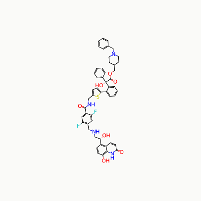 O=C(NCc1ccc(-c2ccccc2[C@](O)(C(=O)OCC2CCN(Cc3ccccc3)CC2)c2ccccc2)s1)c1cc(F)c(CNC[C@H](O)c2ccc(O)c3[nH]c(=O)ccc23)cc1F